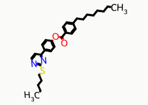 CCCCCCCCc1ccc(C(=O)Oc2ccc(-c3ccnc(SCCCCC)n3)cc2)cc1